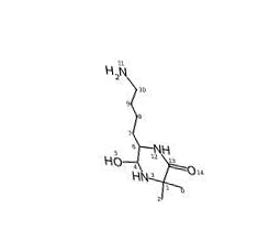 CC1(C)NC(O)C(CCCCN)NC1=O